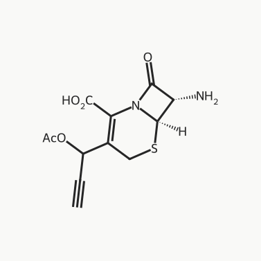 C#CC(OC(C)=O)C1=C(C(=O)O)N2C(=O)[C@H](N)[C@H]2SC1